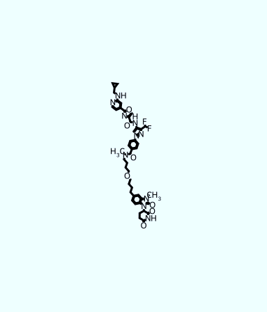 CN(CCCCOCCCCc1ccc2c(c1)n(C)c(=O)n2C1CCC(=O)NC1=O)C(=O)c1ccc(-n2cc(NC(=O)c3coc(-c4ccnc(NCC5CC5)c4)n3)c(C(F)F)n2)cc1